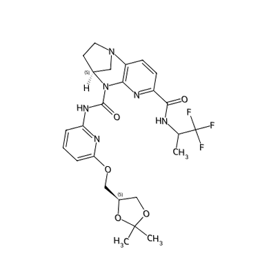 CC(NC(=O)c1ccc2c(n1)N(C(=O)Nc1cccc(OC[C@H]3COC(C)(C)O3)n1)[C@H]1CCN2C1)C(F)(F)F